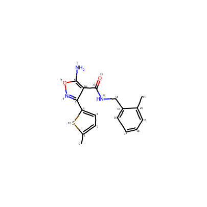 Cc1ccc(-c2noc(N)c2C(=O)NCc2ccccc2C)s1